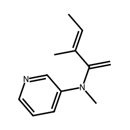 C=C(/C(C)=C/C)N(C)c1cccnc1